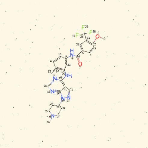 COc1ccc(C(=O)Nc2ccc(C)c(Nc3ncnc4c3cnn4C3CCN(C)CC3)c2)cc1C(F)(F)F